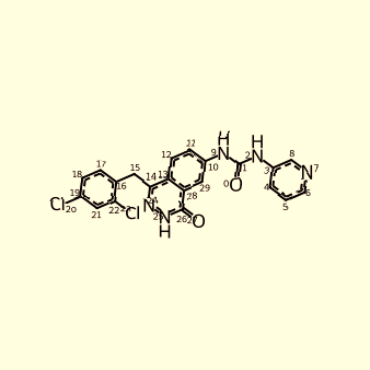 O=C(Nc1cccnc1)Nc1ccc2c(Cc3ccc(Cl)cc3Cl)n[nH]c(=O)c2c1